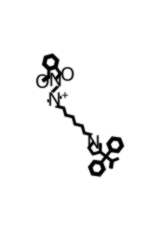 C=C(C)C(c1ccccc1)(c1ccccc1)C1CCN(CCCCCCCC[N+](C)(C)CCN2C(=O)c3ccccc3C2=O)C1